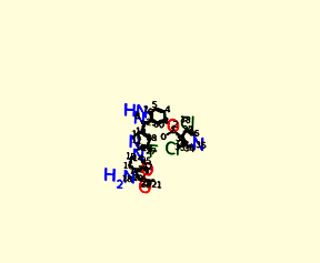 C[C@@H](Oc1ccc2[nH]nc(-c3cnc(N4CCC(N)(CS(C)(=O)=O)CC4)c(F)c3)c2c1)c1c(Cl)cncc1Cl